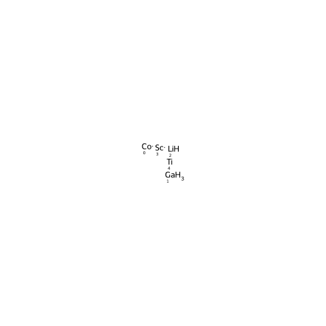 [Co].[GaH3].[LiH].[Sc].[Ti]